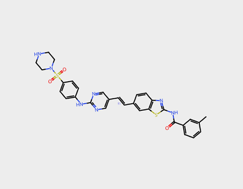 Cc1cccc(C(=O)Nc2nc3ccc(/C=C/c4cnc(Nc5ccc(S(=O)(=O)N6CCNCC6)cc5)nc4)cc3s2)c1